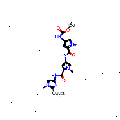 CCOC(=O)c1nc(NC(=O)c2cc(NC(=O)c3cc(NC(=O)OC(C)(C)C)cn3C)cn2C)cn1C